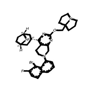 Fc1ccc2cccc(N3CCc4c(nc(OCC56CCCN5CCC6)nc4[C@H]4C[C@H]5CC[C@@H](C4)N5)C3)c2c1Br